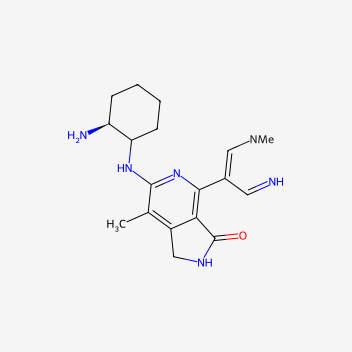 CN/C=C(\C=N)c1nc(NC2CCCC[C@@H]2N)c(C)c2c1C(=O)NC2